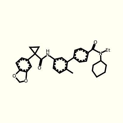 CCN(C(=O)c1ccc(-c2cc(NC(=O)C3(c4ccc5c(c4)OCO5)CC3)ccc2C)cc1)C1CCCCC1